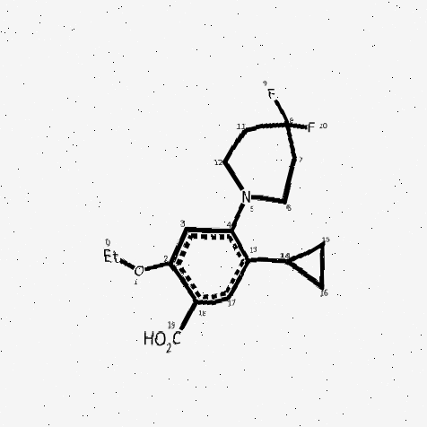 CCOc1cc(N2CCC(F)(F)CC2)c(C2CC2)cc1C(=O)O